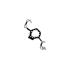 COc1ccc(BO)cc1